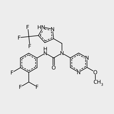 COc1ncc(N(Cc2cc(C(F)(F)F)[nH]n2)C(=O)Nc2ccc(F)c(C(F)F)c2)cn1